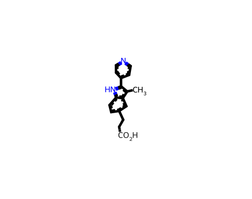 Cc1c(-c2ccncc2)[nH]c2ccc(CCC(=O)O)cc12